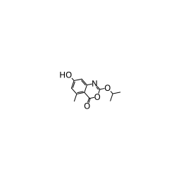 Cc1cc(O)cc2nc(OC(C)C)oc(=O)c12